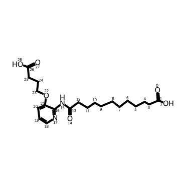 O=C(O)CCCCCCCCCCC(=O)Nc1ncccc1OCCCC(=O)O